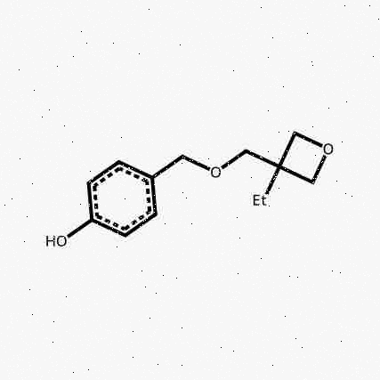 CCC1(COCc2ccc(O)cc2)COC1